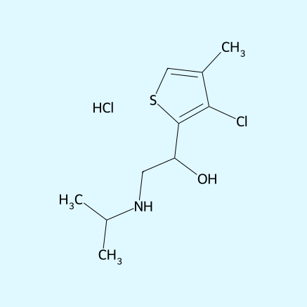 Cc1csc(C(O)CNC(C)C)c1Cl.Cl